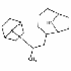 CC(CC1CCCC2CCC1N2)N1CC2CCC(CC2)C1